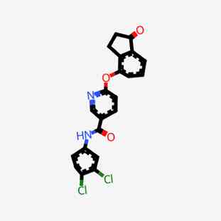 O=C(Nc1ccc(Cl)c(Cl)c1)c1ccc(Oc2cccc3c2CCC3=O)nc1